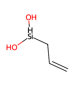 C=CC[SiH](O)O